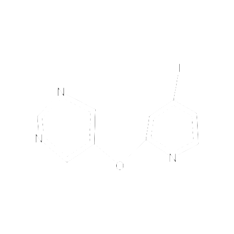 Ic1ccnc(Oc2cncnc2)c1